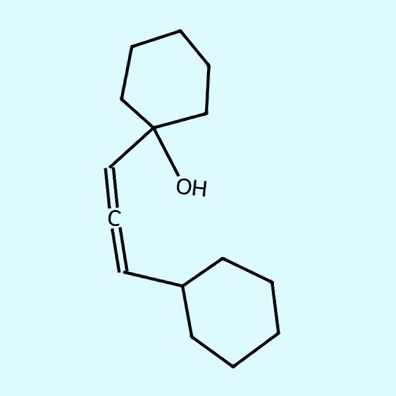 OC1(C=C=CC2CCCCC2)CCCCC1